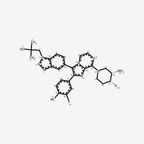 CC(C)(O)Cn1nnc2cc(-c3c(-c4ccc(C#N)c(F)c4)nc4c(N5CC[C@@H](F)[C@@H](N)C5)nccn34)ccc21